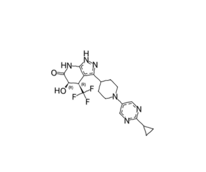 O=C1Nc2[nH]nc(C3CCN(c4cnc(C5CC5)nc4)CC3)c2[C@@H](C(F)(F)F)[C@H]1O